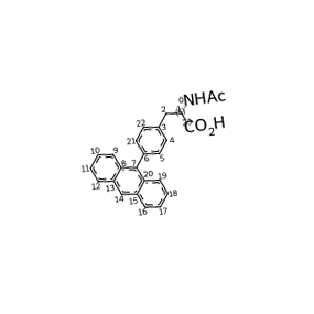 CC(=O)N[C@@H](Cc1ccc(-c2c3ccccc3cc3ccccc23)cc1)C(=O)O